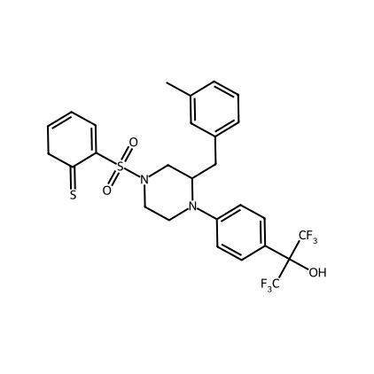 Cc1cccc(CC2CN(S(=O)(=O)C3=CC=CCC3=S)CCN2c2ccc(C(O)(C(F)(F)F)C(F)(F)F)cc2)c1